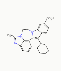 Cc1nc2cccc3c2n1CCn1c-3c(C2CCCCC2)c2ccc(C(=O)O)cc21